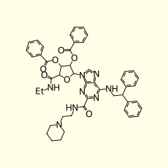 CCNC(=O)C1OC(n2cnc3c(NCC(c4ccccc4)c4ccccc4)nc(C(=O)NCCN4CCCCC4)nc32)C(OC(=O)c2ccccc2)C1OC(=O)c1ccccc1